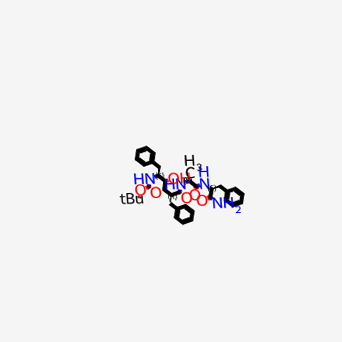 C[C@H](NC(=O)[C@H](Cc1ccccc1)CC(O)[C@H](Cc1ccccc1)NC(=O)OC(C)(C)C)C(=O)N[C@@H](Cc1ccccc1)C(N)=O